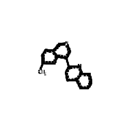 Cc1ccc2cncc(-c3ccc4ccccc4n3)c2c1